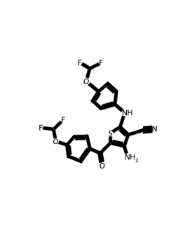 N#Cc1c(Nc2ccc(OC(F)F)cc2)sc(C(=O)c2ccc(OC(F)F)cc2)c1N